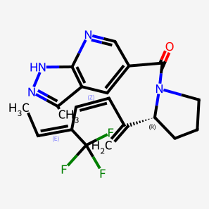 C=C(/C=C\C(=C/C)C(F)(F)F)[C@H]1CCCN1C(=O)c1cnc2[nH]nc(C)c2c1